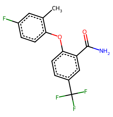 Cc1cc(F)ccc1Oc1ccc(C(F)(F)F)cc1C(N)=O